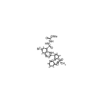 COC(=O)NNC(=O)c1cc(Br)cc(Br)c1NC(=O)c1ccc(S(C)(=O)=O)n1-c1ncccc1Cl